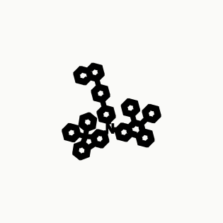 c1ccc(-c2c(-c3ccccc3)c3cc(N(c4ccc(-c5ccc(-c6cccc7ccccc67)cc5)cc4)c4ccc5c(c4)C(c4ccccc4)(c4ccccc4)c4ccccc4-5)ccc3c3ccccc23)cc1